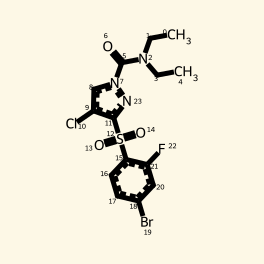 CCN(CC)C(=O)n1cc(Cl)c(S(=O)(=O)c2ccc(Br)cc2F)n1